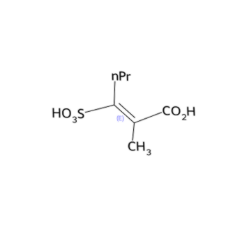 CCC/C(=C(/C)C(=O)O)S(=O)(=O)O